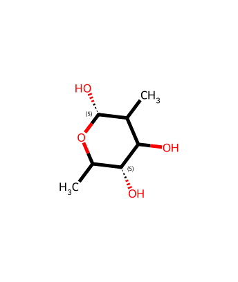 CC1O[C@H](O)C(C)C(O)[C@@H]1O